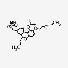 C=CCOCCOc1ccc2c(c1OC(F)F)-c1ccc(CS(N)(=O)=O)cc1C(CC=C)O2